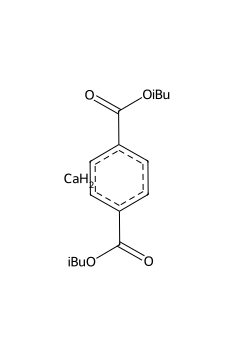 CC(C)COC(=O)c1ccc(C(=O)OCC(C)C)cc1.[CaH2]